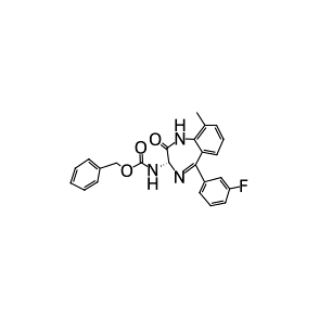 Cc1cccc2c1NC(=O)[C@@H](NC(=O)OCc1ccccc1)N=C2c1cccc(F)c1